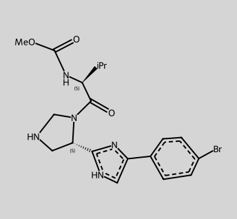 COC(=O)N[C@H](C(=O)N1CNC[C@H]1c1nc(-c2ccc(Br)cc2)c[nH]1)C(C)C